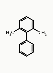 Cc1cccc(C)c1-c1c[c]ccc1